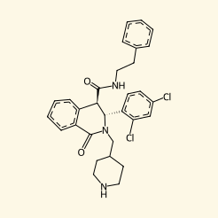 O=C(NCCc1ccccc1)[C@@H]1c2ccccc2C(=O)N(CC2CCNCC2)[C@H]1c1ccc(Cl)cc1Cl